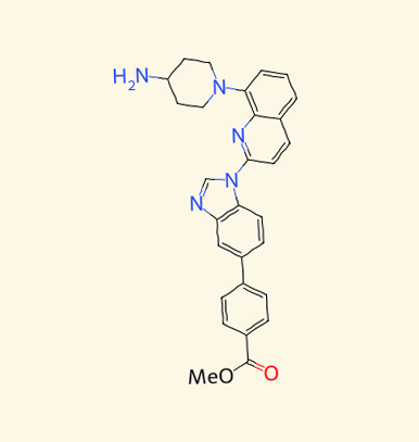 COC(=O)c1ccc(-c2ccc3c(c2)ncn3-c2ccc3cccc(N4CCC(N)CC4)c3n2)cc1